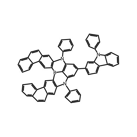 c1ccc(N2c3cc4ccc5ccccc5c4cc3B3c4cc5c(ccc6ccccc65)cc4N(c4ccccc4)c4cc(-c5ccc6c7ccccc7n(-c7ccccc7)c6c5)cc2c43)cc1